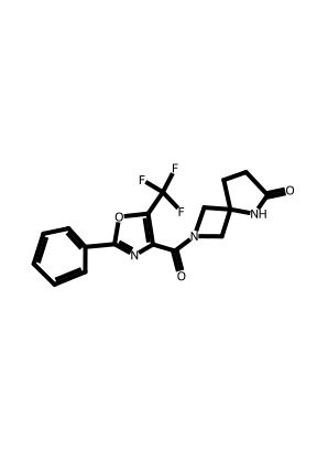 O=C1CCC2(CN(C(=O)c3nc(-c4ccccc4)oc3C(F)(F)F)C2)N1